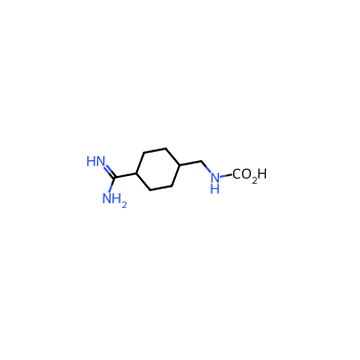 N=C(N)C1CCC(CNC(=O)O)CC1